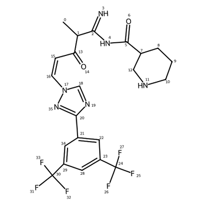 CC(C(=N)NC(=O)C1CCCNC1)C(=O)/C=C\n1cnc(-c2cc(C(F)(F)F)cc(C(F)(F)F)c2)n1